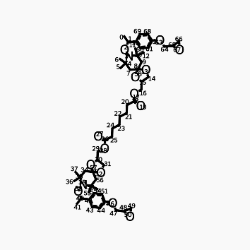 CC(ON1C(C)(C)CC2(CC1(C)C)OCC(COC(=O)CCCCCCC(=O)OCC1COC3(CC(C)(C)N(OC(C)c4ccc(OCC5CO5)cc4)C(C)(C)C3)O1)O2)c1ccc(OCC2CO2)cc1